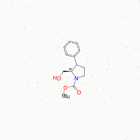 CC(C)(C)OC(=O)N1CCC(c2ccccc2)[C@@H]1CO